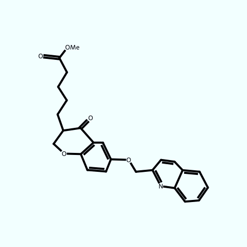 COC(=O)CCCCC1COc2ccc(OCc3ccc4ccccc4n3)cc2C1=O